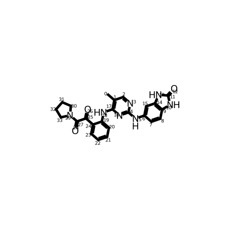 Cc1cnc(Nc2ccc3[nH]c(=O)[nH]c3c2)nc1Nc1ccccc1C(=O)C(=O)N1CCCC1